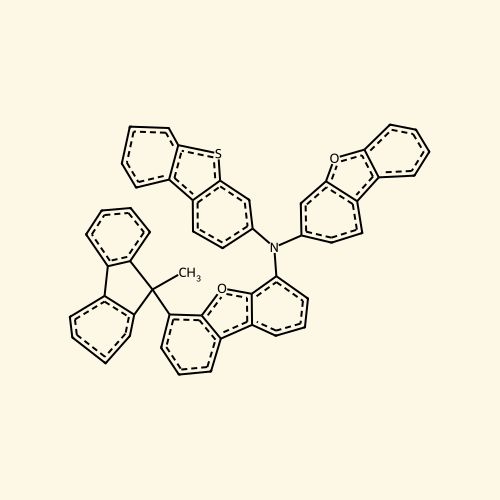 CC1(c2cccc3c2oc2c(N(c4ccc5c(c4)oc4ccccc45)c4ccc5c(c4)sc4ccccc45)cccc23)c2ccccc2-c2ccccc21